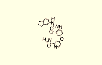 NC(=O)c1cc(Oc2ccc(NC(=O)Nc3ccc4c(c3)CCC4)c(Cl)c2)ccn1